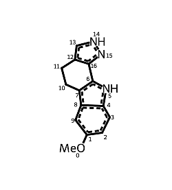 COc1ccc2[nH]c3c(c2c1)CCc1c[nH]nc1-3